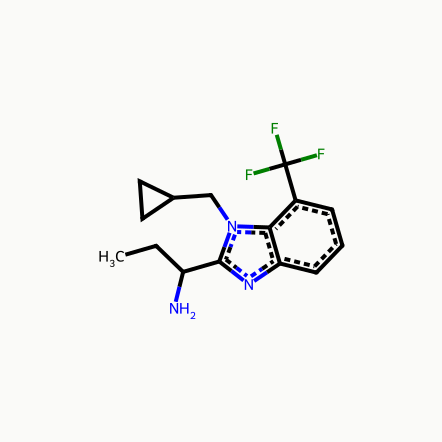 CCC(N)c1nc2cccc(C(F)(F)F)c2n1CC1CC1